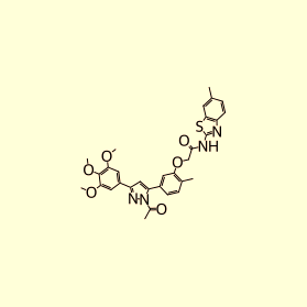 COc1cc(-c2cc(-c3ccc(C)c(OCC(=O)Nc4nc5ccc(C)cc5s4)c3)n(C(C)=O)n2)cc(OC)c1OC